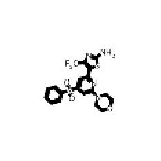 Nc1nc(C(F)(F)F)c(-c2cc(S(=O)(=O)c3ccccc3)cc(N3CCOCC3)n2)s1